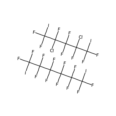 FC(F)(I)C(F)(Cl)C(F)(F)C(F)(Cl)C(F)(F)I.FC(F)(I)C(F)(F)C(F)(F)C(F)(F)C(F)(F)C(F)(F)I